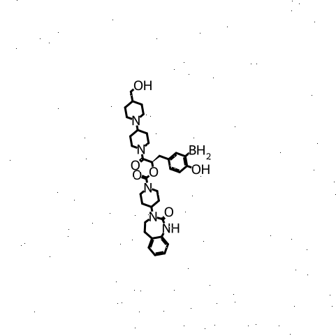 Bc1cc(C[C@@H](OC(=O)N2CCC(N3CCc4ccccc4NC3=O)CC2)C(=O)N2CCC(N3CCC(CO)CC3)CC2)ccc1O